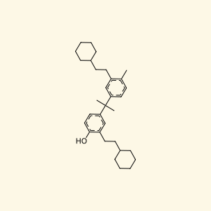 Cc1ccc(C(C)(C)c2ccc(O)c(CCC3CCCCC3)c2)cc1CCC1CCCCC1